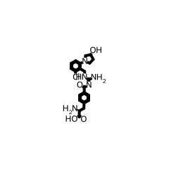 NC(=NC(=O)c1ccc(C[C@H](N)C(=O)O)cc1)NCc1c(Cl)cccc1N1CCC(O)C1